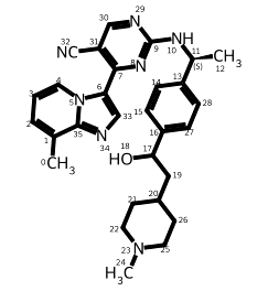 Cc1cccn2c(-c3nc(N[C@@H](C)c4ccc(C(O)CC5CCN(C)CC5)cc4)ncc3C#N)cnc12